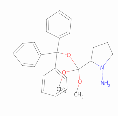 COC(OC)(OC(c1ccccc1)(c1ccccc1)c1ccccc1)C1CCCN1N